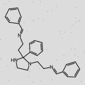 C(=NCCN1CCNC1(CCN=Cc1ccccc1)c1ccccc1)c1ccccc1